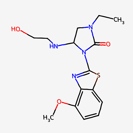 CCN1CC(NCCO)N(c2nc3c(OC)cccc3s2)C1=O